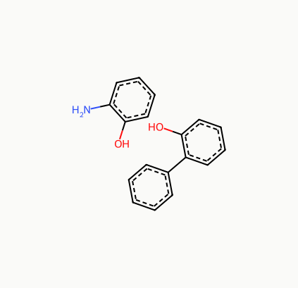 Nc1ccccc1O.Oc1ccccc1-c1ccccc1